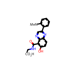 CNc1ccccc1-c1cnc2c(C(=O)NCC(=O)O)c(O)ccc2n1